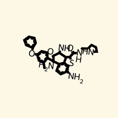 Cc1cc(Oc2ccccc2)ccc1C1(N)C(=O)C(N)C2c3c1ccc(N)c3SC2C(=O)NCC1CCCN1